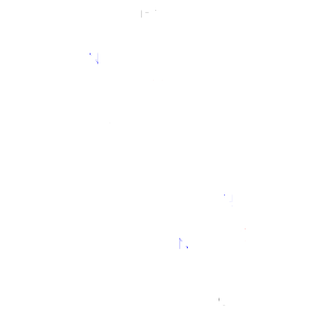 CC(C)C(=O)N(C)Cc1ccc(-c2noc(C(F)(F)F)n2)cc1